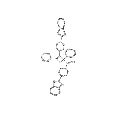 N=C(c1ccc(-c2nc3ccccc3s2)cc1)C1(c2ccccc2)CC(c2ccccc2)=C1c1ccc(-c2nc3ccccc3s2)cc1